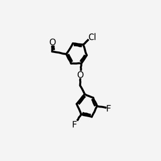 O=Cc1cc(Cl)cc(OCc2cc(F)cc(F)c2)c1